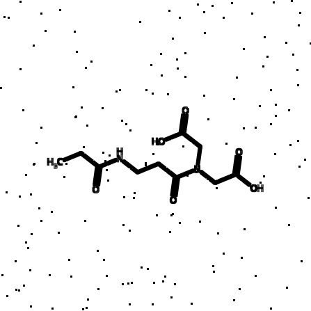 CCC(=O)NCCC(=O)N(CC(=O)O)CC(=O)O